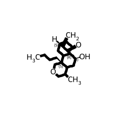 C=C1C(=O)[C@]23CC[C@H]1CC2[C@@]1(CCCC)COCC(C)C1C[C@H]3O